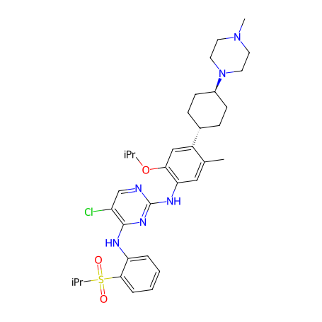 Cc1cc(Nc2ncc(Cl)c(Nc3ccccc3S(=O)(=O)C(C)C)n2)c(OC(C)C)cc1[C@H]1CC[C@H](N2CCN(C)CC2)CC1